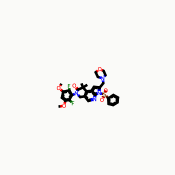 COc1cc(OC)c(F)c(N2Cc3cnc4c(cc(CN5CCOCC5)n4S(=O)(=O)c4ccccc4)c3C(C)(C)C2=O)c1F